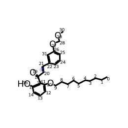 CCCCCCCCCCOc1cccc(O)c1C(=O)/C=C/c1cccc(OCOC)c1